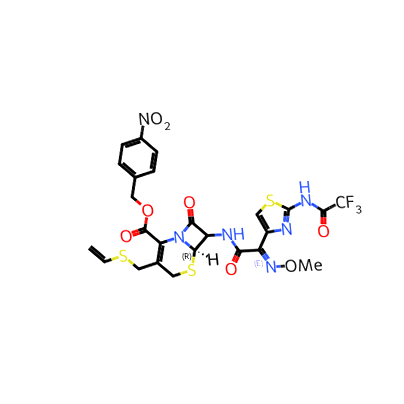 C=CSCC1=C(C(=O)OCc2ccc([N+](=O)[O-])cc2)N2C(=O)C(NC(=O)/C(=N/OC)c3csc(NC(=O)C(F)(F)F)n3)[C@H]2SC1